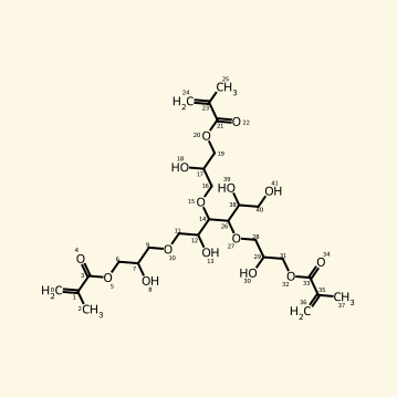 C=C(C)C(=O)OCC(O)COCC(O)C(OCC(O)COC(=O)C(=C)C)C(OCC(O)COC(=O)C(=C)C)C(O)CO